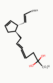 CCCCCCC=C[C@H]1C=CC[C@@H]1CC=C=CCC(O)(O)C(=O)O